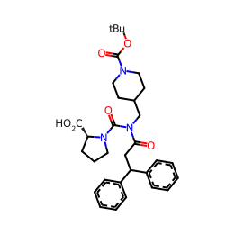 CC(C)(C)OC(=O)N1CCC(CN(C(=O)CC(c2ccccc2)c2ccccc2)C(=O)N2CCC[C@H]2C(=O)O)CC1